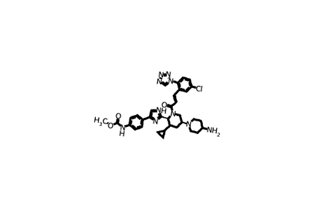 COC(=O)Nc1ccc(-c2c[nH]c([C@@H]3C(C4CC4)C[C@H](N4CCC(N)CC4)CN3C(=O)/C=C/c3cc(Cl)ccc3-n3cnnn3)n2)cc1